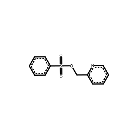 O=S(=O)(OCc1ccccn1)c1ccccc1